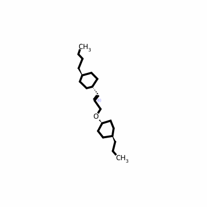 CCCC[C@H]1CC[C@H](/C=C/CO[C@H]2CC[C@H](CCC)CC2)CC1